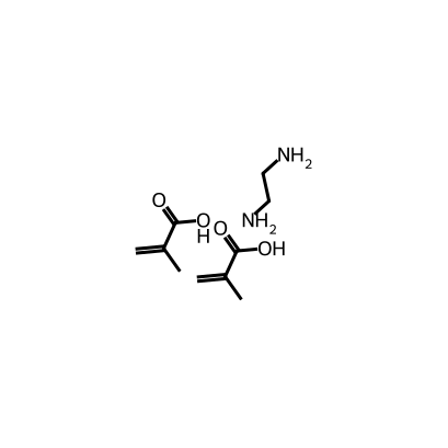 C=C(C)C(=O)O.C=C(C)C(=O)O.NCCN